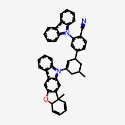 CC1CC(n2c3ccccc3c3cc4c(cc32)C2(C)C=CC=CC2O4)=CC(c2ccc(C#N)c(-n3c4ccccc4c4ccccc43)c2)C1